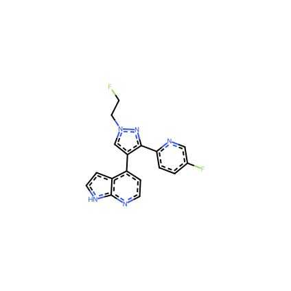 FCCn1cc(-c2ccnc3[nH]ccc23)c(-c2ccc(F)cn2)n1